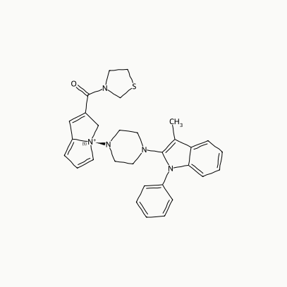 Cc1c(N2CCN([N@@+]34C=CC=C3C=C(C(=O)N3CCSC3)C4)CC2)n(-c2ccccc2)c2ccccc12